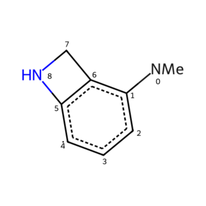 CNc1cc[c]c2c1CN2